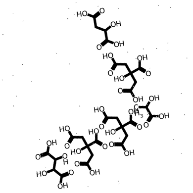 CC(O)C(=O)O.O=C(O)C(O)C(O)C(=O)O.O=C(O)CC(O)(CC(=O)O)C(=O)O.O=C(O)CC(O)(CC(=O)O)C(=O)O.O=C(O)CC(O)(CC(=O)O)C(=O)O.O=C(O)CC(O)C(=O)O